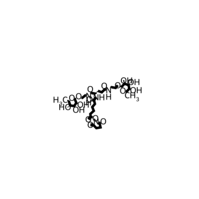 C[C@@H]1O[C@@H](OCCNC(=O)CC[C@H](NC(=O)CCCCC(=O)ON2C(=O)CCC2=O)C(=O)NCCO[C@@H]2O[C@@H](C)[C@@H](O)[C@@H](O)[C@@H]2O)[C@@H](O)[C@H](O)[C@@H]1O